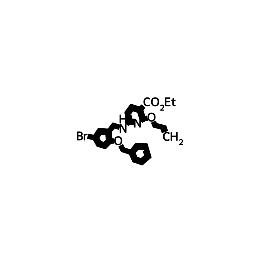 C=CCOc1nc(NCc2cc(Br)ccc2OCc2ccccc2)ccc1C(=O)OCC